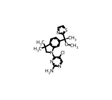 CO[C@](C)(c1ccc2c(c1)N(c1nc(N)ncc1Cl)CC2(C)C)c1nccs1